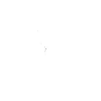 CC=CCO[Si](C)(c1ccccc1)c1ccccc1